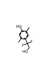 Cc1cc(C(F)(F)CO)c(C)cc1O